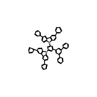 c1ccc(-c2cc(-c3ccccc3)cc(-c3cc(-n4c5ccc(-c6ccccc6)cc5c5cc(-c6ccccc6)ccc54)cc(-n4c5ccc(-c6ccccc6)cc5c5cc(-c6ccccc6)ccc54)c3)c2)cc1